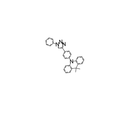 CC1(C)c2ccccc2N(c2ccc(-c3cn(-c4ccccc4)nn3)cc2)c2ccccc21